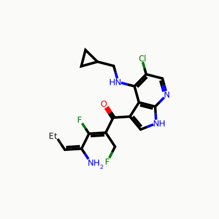 CC/C=C(N)\C(F)=C(/CF)C(=O)c1c[nH]c2ncc(Cl)c(NCC3CC3)c12